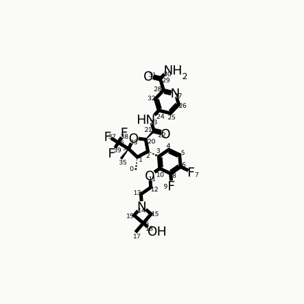 C[C@H]1[C@@H](c2ccc(F)c(F)c2OCCN2CC(C)(O)C2)[C@H](C(=O)Nc2ccnc(C(N)=O)c2)O[C@@]1(C)C(F)(F)F